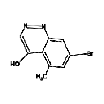 Cc1cc(Br)cc2nncc(O)c12